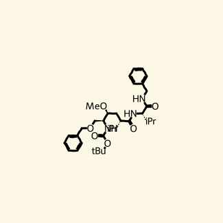 CO[C@@H](C[C@H](C(=O)N[C@H](C(=O)NCc1ccccc1)C(C)C)C(C)C)[C@H](COCc1ccccc1)NC(=O)OC(C)(C)C